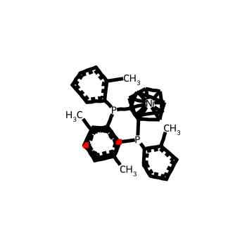 Cc1ccccc1P(c1ccccc1C)[C]12[CH]3[CH]4[CH]5[C]1(P(c1ccccc1C)c1ccccc1C)[Ni]43521678[CH]2[CH]1[CH]6[CH]7[CH]28